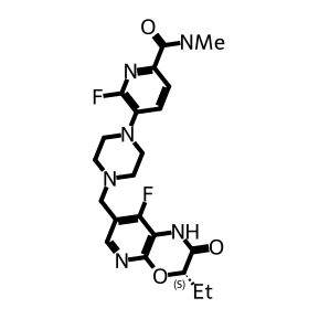 CC[C@@H]1Oc2ncc(CN3CCN(c4ccc(C(=O)NC)nc4F)CC3)c(F)c2NC1=O